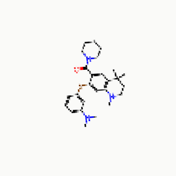 CN(C)c1cccc(Sc2cc3c(cc2C(=O)N2CCCCC2)C(C)(C)CCN3C)c1